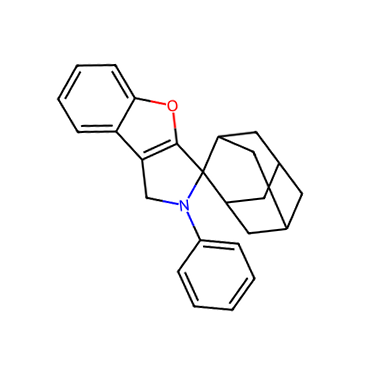 c1ccc(N2Cc3c(oc4ccccc34)C23C2CC4CC(C2)CC3C4)cc1